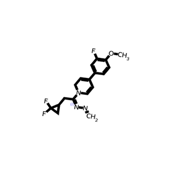 C=N/N=C(/CC1CC1(F)F)N1C=CC(c2ccc(OC)c(F)c2)=CC1